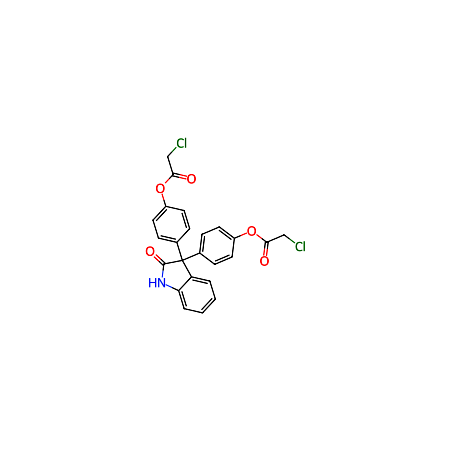 O=C(CCl)Oc1ccc(C2(c3ccc(OC(=O)CCl)cc3)C(=O)Nc3ccccc32)cc1